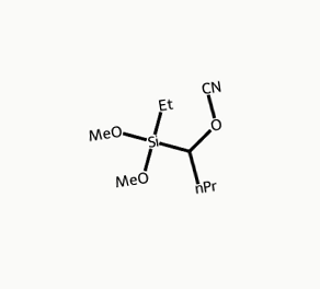 CCCC(OC#N)[Si](CC)(OC)OC